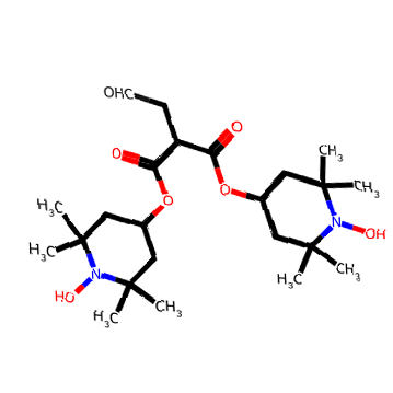 CC1(C)CC(OC(=O)C(CC=O)C(=O)OC2CC(C)(C)N(O)C(C)(C)C2)CC(C)(C)N1O